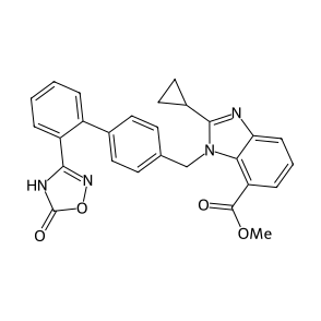 COC(=O)c1cccc2nc(C3CC3)n(Cc3ccc(-c4ccccc4-c4noc(=O)[nH]4)cc3)c12